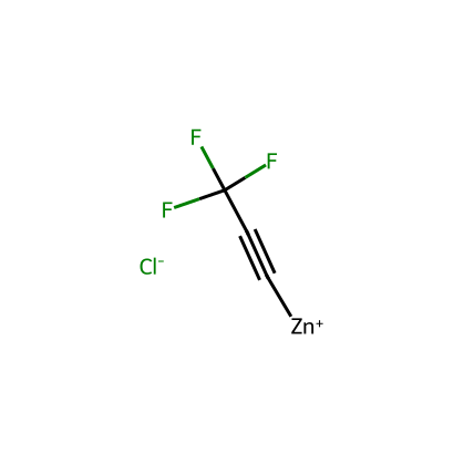 FC(F)(F)C#[C][Zn+].[Cl-]